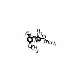 CCOC(=O)c1cnn(Cc2cc(OC)ccc2C(F)(F)F)c1C